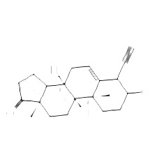 C#CC1C2=CC[C@@H]3[C@@H](CC[C@]4(C)C(=O)CC[C@@H]34)[C@@]2(C)CCC1O